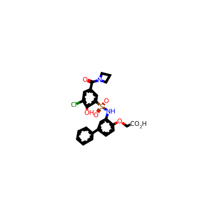 O=C(O)COc1ccc(-c2ccccc2)cc1NS(=O)(=O)c1cc(C(=O)N2CCC2)cc(Cl)c1O